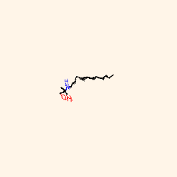 CCCCCCCCCCCCNC(C)(C)CO